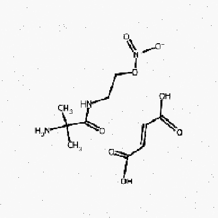 CC(C)(N)C(=O)NCCO[N+](=O)[O-].O=C(O)C=CC(=O)O